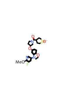 COc1ncc(N2CCOc3ccc(OC4CCN(C(=O)C5CC[S+]([O-])CC5)C4)cc32)cc1F